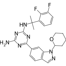 CC(C)(Nc1nc(N)nc(-c2ccc3cnn(C4CCCCO4)c3c2)n1)c1cccc(F)c1F